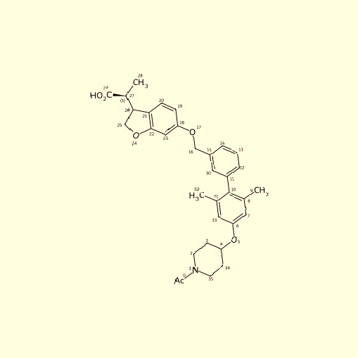 CC(=O)N1CCC(Oc2cc(C)c(-c3cccc(COc4ccc5c(c4)OCC5[C@H](C)C(=O)O)c3)c(C)c2)CC1